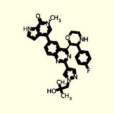 Cn1cc(-c2ccc3nc(-c4cnn(CC(C)(C)O)c4)nc([C@H]4OCCNC4c4ccc(F)cc4)c3c2)c2cc[nH]c2c1=O